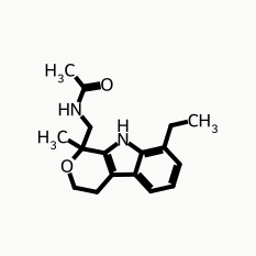 CCc1cccc2c3c([nH]c12)C(C)(CNC(C)=O)OCC3